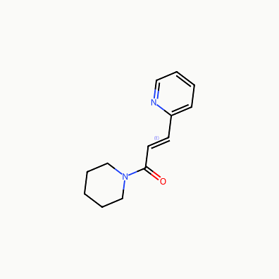 O=C(/C=C/c1ccccn1)N1CCCCC1